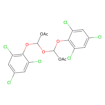 CC(=O)OC(Oc1c(Cl)cc(Cl)cc1Cl)OC(OC(C)=O)Oc1c(Cl)cc(Cl)cc1Cl